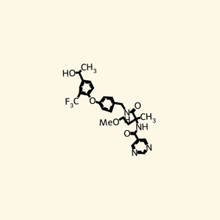 COCCC(C)(NC(=O)c1cncnc1)C(=O)NCc1ccc(Oc2ccc(C(C)O)cc2C(F)(F)F)cc1